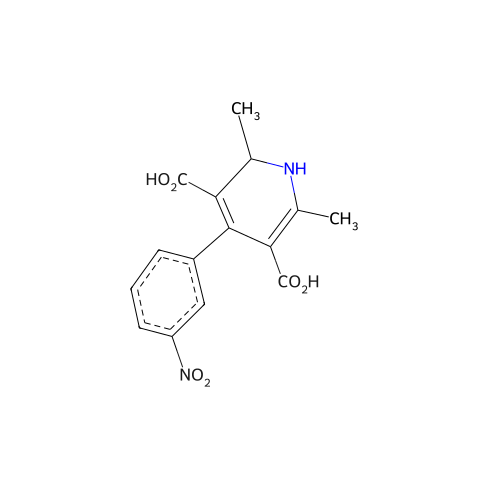 CC1=C(C(=O)O)C(c2cccc([N+](=O)[O-])c2)=C(C(=O)O)C(C)N1